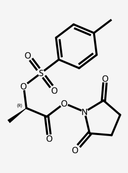 Cc1ccc(S(=O)(=O)O[C@H](C)C(=O)ON2C(=O)CCC2=O)cc1